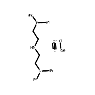 CC(C)P(CCNCCP(C(C)C)C(C)C)C(C)C.[C-]#[O+].[Cl][RuH]